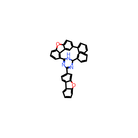 c1ccc(-c2ccc3oc4cccc(C5=NC(c6ccc7c(c6)oc6ccccc67)=NC(c6ccccc6)N5)c4c3c2)cc1